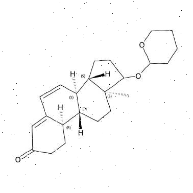 C[C@]12CC[C@H]3[C@@H](C=CC4=CC(=O)CC[C@@H]43)[C@@H]1CCC2OC1CCCCO1